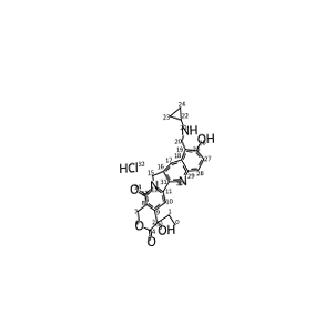 CC[C@@]1(O)C(=O)OCc2c1cc1n(c2=O)Cc2cc3c(CNC4CC4)c(O)ccc3nc2-1.Cl